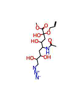 C=CCOC(O)(CC(O)C(CC(O)C(O)CN=[N+]=[N-])NC(C)=O)C(=O)OC